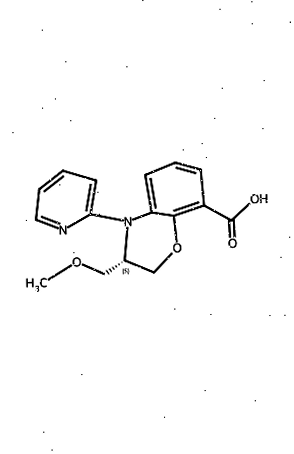 COC[C@H]1COc2c(C(=O)O)cccc2N1c1ccccn1